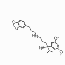 COc1cc(OC)cc(C(C#N)(CCCNCCCc2ccc3c(c2)OCO3)C(C)C)c1